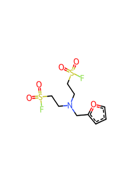 O=S(=O)(F)CCN(CCS(=O)(=O)F)Cc1ccco1